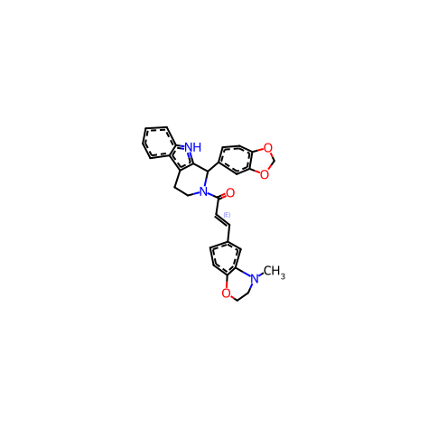 CN1CCOc2ccc(/C=C/C(=O)N3CCc4c([nH]c5ccccc45)C3c3ccc4c(c3)OCO4)cc21